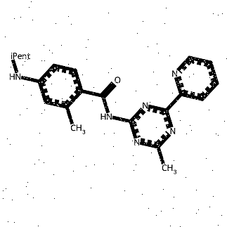 CCCC(C)Nc1ccc(C(=O)Nc2nc(C)nc(-c3ccccn3)n2)c(C)c1